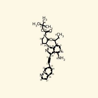 CCC(O)c1cnc(N)c2c(C#Cc3ccc4ccnn4c3)nn([C@H]3CCN(C(=O)OC(C)(C)C)C3)c12